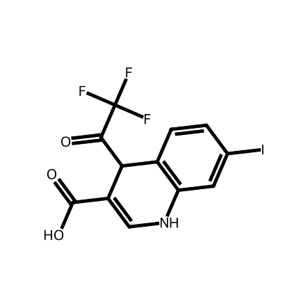 O=C(O)C1=CNc2cc(I)ccc2C1C(=O)C(F)(F)F